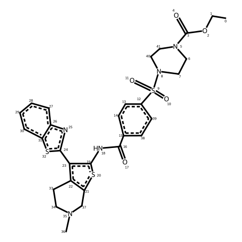 CCOC(=O)N1CCN(S(=O)(=O)c2ccc(C(=O)Nc3sc4c(c3-c3nc5ccccc5s3)CCN(C)C4)cc2)CC1